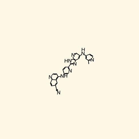 Cc1cc(Nc2cnc3[nH]c(-c4ccc(Nc5ccnc6ccc(C#N)cc56)cn4)nc3c2)ccn1